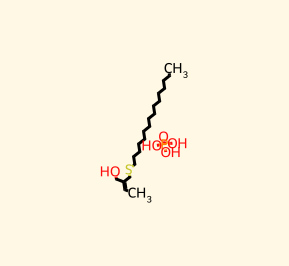 C/C=C(/CO)CSCCCCCCCCCCCCCCCC.O=P(O)(O)O